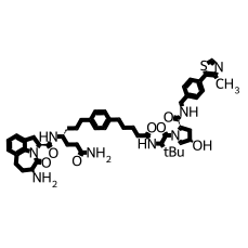 Cc1ncsc1-c1ccc(CNC(=O)[C@@H]2C[C@@H](O)CN2C(=O)C(NC(=O)CCCCc2ccc(CCC[C@H](CCC(N)=O)NC(=O)[C@@H]3Cc4cccc5c4N3C(=O)[C@@H](N)CC5)cc2)C(C)(C)C)cc1